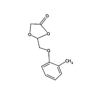 Cc1ccccc1OCC1OCC(=O)O1